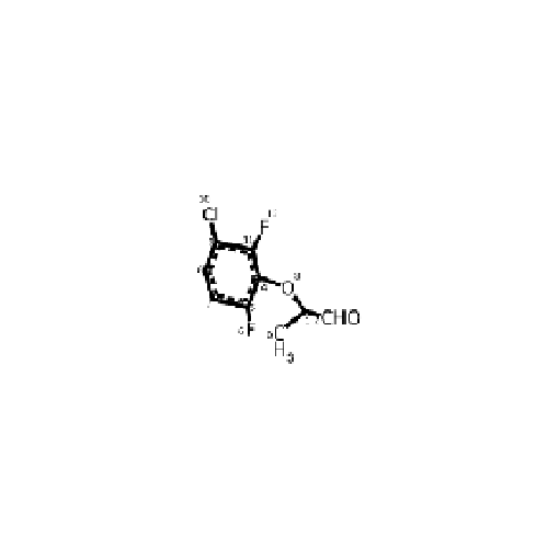 CC(C=O)Oc1c(F)ccc(Cl)c1F